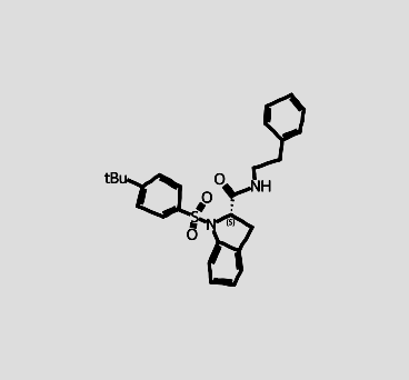 CC(C)(C)c1ccc(S(=O)(=O)N2c3ccccc3C[C@H]2C(=O)NCCc2ccccc2)cc1